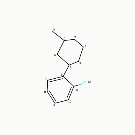 CC1CCCC(c2ccccc2F)C1